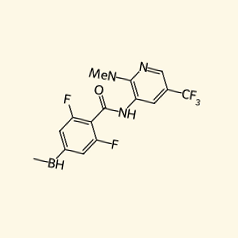 CBc1cc(F)c(C(=O)Nc2cc(C(F)(F)F)cnc2NC)c(F)c1